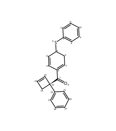 O=C(C1=CCC(Sc2ccccc2)C=C1)[C@]1(c2ccccc2)C=CC1